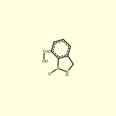 O=CO.[O-][S+]1NCc2ccccc21